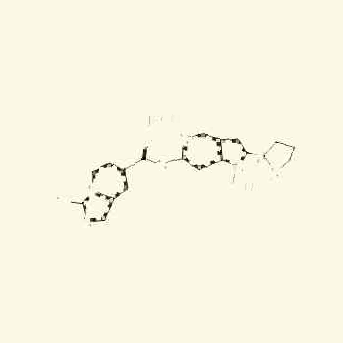 CC(=O)c1ncc2cc(C(=O)Nc3cc4[nH]c([C@H]5CCCN5C)cc4cn3)ccn12.Cl